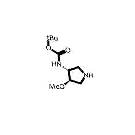 CO[C@@H]1CNC[C@H]1NC(=O)OC(C)(C)C